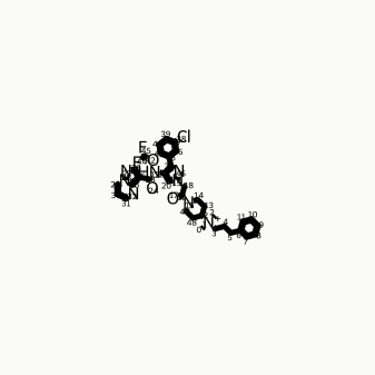 C[N+](C)(CCCc1ccccc1)C1CCN(C(=O)Cn2cc(NC(=O)c3cnn4cccnc34)c(-c3cc(Cl)ccc3OC(F)F)n2)CC1